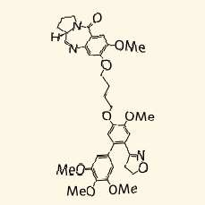 COc1cc2c(cc1OCCCCOc1cc(-c3cc(OC)c(OC)c(OC)c3)c(C3=NOCC3)cc1OC)N=C[C@@H]1CCCN1C2=O